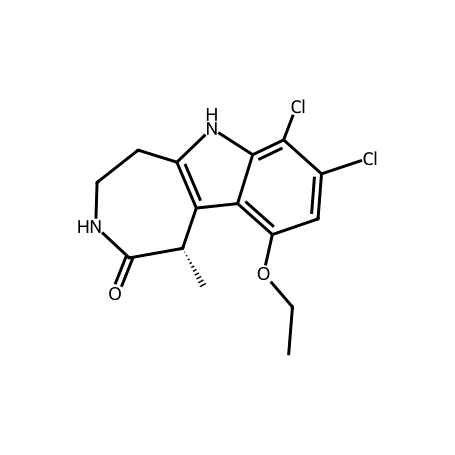 CCOc1cc(Cl)c(Cl)c2[nH]c3c(c12)[C@H](C)C(=O)NCC3